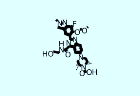 COCOc1c(-c2nc(C(=O)NCCO)c3cc(N4C[C@@H](C)N(C(=O)O)[C@@H](C)C4)ccc3n2)cc2cn(C)nc2c1F